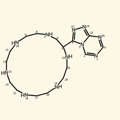 c1ncn2c(C3CNCCNCCNCCNCCNCCN3)nnc2n1